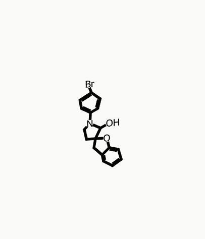 OC1N(c2ccc(Br)cc2)CCC12Cc1ccccc1O2